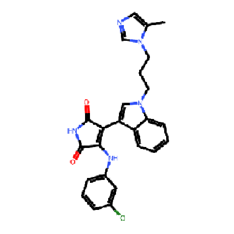 Cc1cncn1CCCn1cc(C2=C(Nc3cccc(Cl)c3)C(=O)NC2=O)c2ccccc21